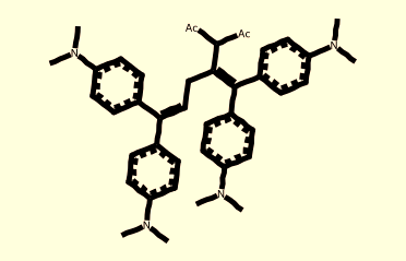 CC(=O)C(C(C)=O)C(CC=C(c1ccc(N(C)C)cc1)c1ccc(N(C)C)cc1)=C(c1ccc(N(C)C)cc1)c1ccc(N(C)C)cc1